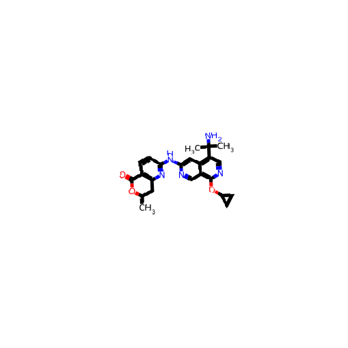 CC1Cc2nc(Nc3cc4c(C(C)(C)N)cnc(OC5CC5)c4cn3)ccc2C(=O)O1